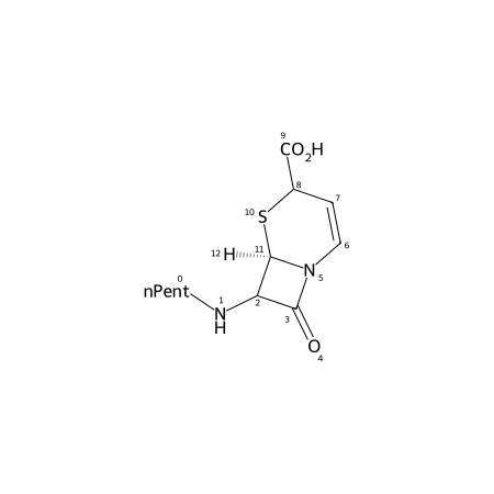 CCCCCNC1C(=O)N2C=CC(C(=O)O)S[C@H]12